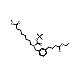 CCOC(=O)CCCc1cccc(CN(CCCCCCCC(=O)OC)C(=O)OC(C)(C)C)c1